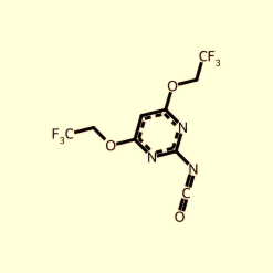 O=C=Nc1nc(OCC(F)(F)F)cc(OCC(F)(F)F)n1